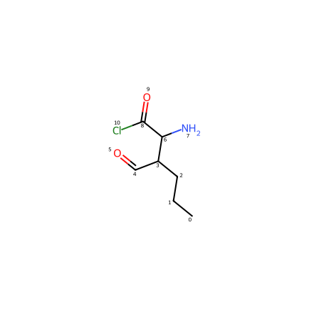 CCCC(C=O)C(N)C(=O)Cl